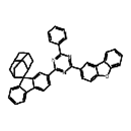 c1ccc(-c2nc(-c3ccc4c(c3)C3(c5ccccc5-4)C4CC5CC(C4)CC3C5)nc(-c3ccc4oc5ccccc5c4c3)n2)cc1